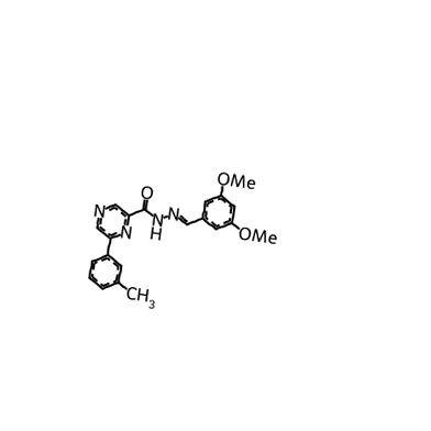 COc1cc(C=NNC(=O)c2cncc(-c3cccc(C)c3)n2)cc(OC)c1